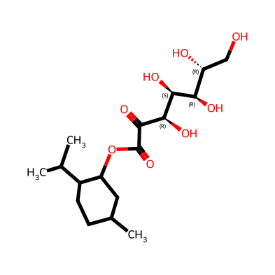 CC1CCC(C(C)C)C(OC(=O)C(=O)[C@H](O)[C@@H](O)[C@H](O)[C@H](O)CO)C1